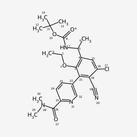 CCOc1c(C(C)NC(=O)OC(C)(C)C)cc(Cl)c(C#N)c1-c1ccc(C(=O)N(C)C)nc1